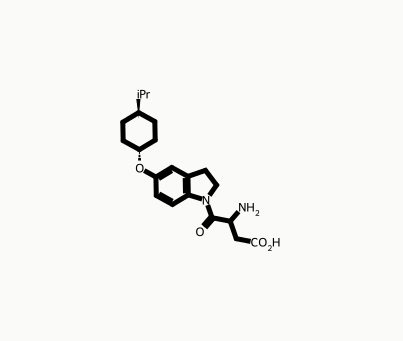 CC(C)[C@H]1CC[C@H](Oc2ccc3c(c2)CCN3C(=O)C(N)CC(=O)O)CC1